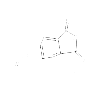 O=C1NC(=O)c2ccccc21.[Cl-].[Cl-].[Cl-].[Cl-].[W+6]